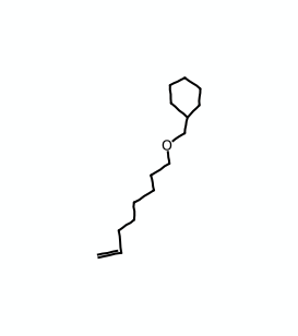 C=CCCCCCCOCC1CCCCC1